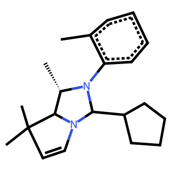 Cc1ccccc1N1C(C2CCCC2)N2C=CC(C)(C)C2[C@@H]1C